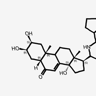 CC(NCC1CCCO1)[C@H]1CC[C@@]2(O)C3=CC(=O)[C@@H]4C[C@@H](O)[C@@H](O)C[C@]4(C)C3CC[C@]12C